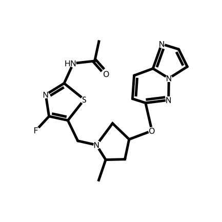 CC(=O)Nc1nc(F)c(CN2CC(Oc3ccc4nccn4n3)CC2C)s1